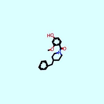 COc1cc(O)ccc1C(=O)N1CCC(Cc2ccccc2)CC1